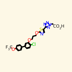 O=C(O)Cn1nnc(-c2cnc(OCCCOc3cc(-c4ccc(OC(F)(F)F)cc4)ccc3Cl)s2)n1